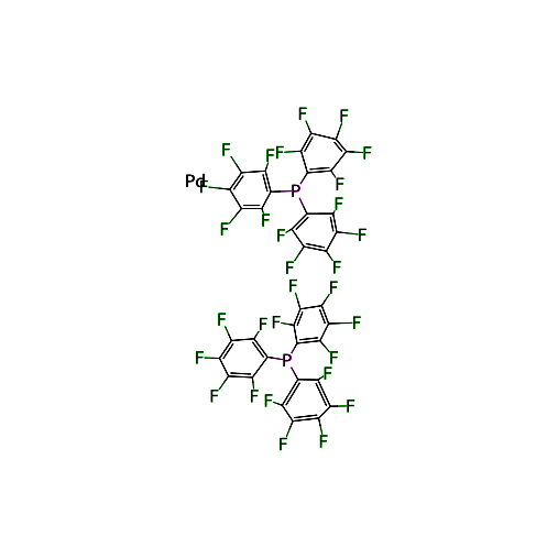 Fc1c(F)c(F)c(P(c2c(F)c(F)c(F)c(F)c2F)c2c(F)c(F)c(F)c(F)c2F)c(F)c1F.Fc1c(F)c(F)c(P(c2c(F)c(F)c(F)c(F)c2F)c2c(F)c(F)c(F)c(F)c2F)c(F)c1F.[Pd]